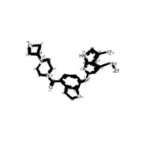 CCNc1cc(Nc2ccc(C(=O)N3CCN(C4COC4)CC3)c3c2OCC3)nc2[nH]cc(C(F)(F)F)c12